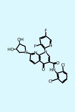 O=C(Nc1c(Cl)cccc1Cl)c1cn(-c2ncc(F)cc2F)c2nc(N3C[C@@H](O)[C@@H](O)C3)ccc2c1=O